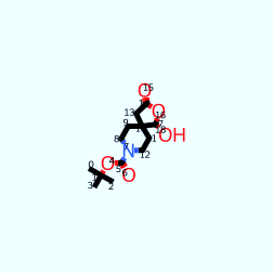 CC(C)(C)OC(=O)N1CCC2(CC1)CC(=O)OC2O